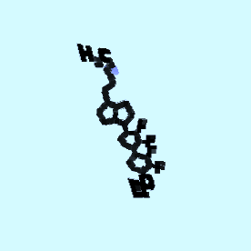 C/C=C/CCC1CCC2C(c3ccc(-c4ccc(OCC)c(F)c4F)c(F)c3F)CCC12